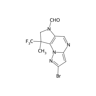 CC1(C(F)(F)F)CN(C=O)c2cnc3cc(Br)nn3c21